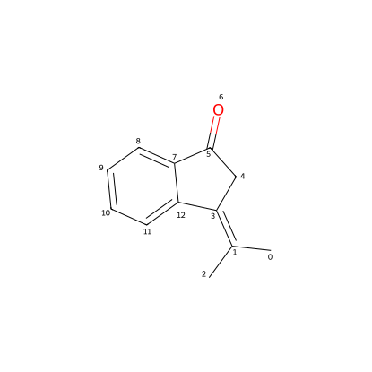 CC(C)=C1CC(=O)c2ccccc21